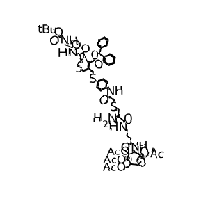 CC(=O)OCC1CO[C@@H](OC(C)=O)[C@@H](NC(=O)CCCNC(=O)C(N)CSCC(=O)Nc2ccc(SCC3=C(C(=O)OC(c4ccccc4)c4ccccc4)N4C(=O)C(NC(=O)CNC(=O)OC(C)(C)C)C4SC3)cc2)C(OC(C)=O)[C@@H]1OC(C)=O